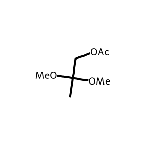 COC(C)(COC(C)=O)OC